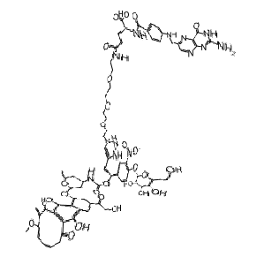 C=C1C(=O)c2c(O)c3c(c(O)c2C(=O)C/C=C\C=C/1OC)CC(C(=O)CO)C[C@@H]3OC1CC(NC(=O)O[C@@H](CC2=CN(CCOCCOCCOCCNC(=O)CC[C@H](NC(=O)c3ccc(NCc4cnc5nc(N)[nH]c(=O)c5n4)cc3)C(=O)O)NN2)c2ccc(O[C@@H]3OC(CO)[C@H](O)C(O)[C@@H]3O)c([N+](=O)[O-])c2)CC(C)O1